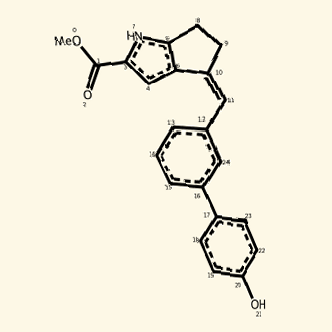 COC(=O)c1cc2c([nH]1)CCC2=Cc1cccc(-c2ccc(O)cc2)c1